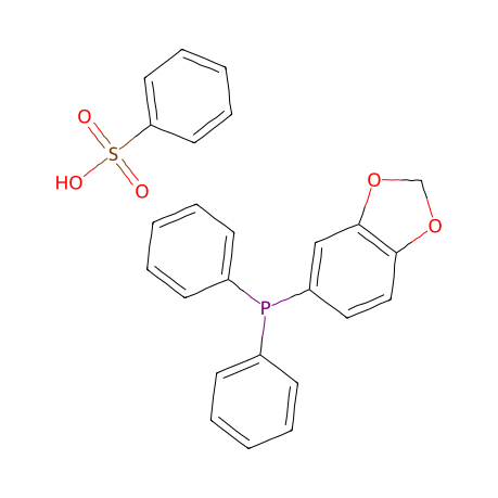 O=S(=O)(O)c1ccccc1.c1ccc(P(c2ccccc2)c2ccc3c(c2)OCO3)cc1